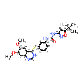 COc1cc2ncnc(Sc3cccc(NC(=O)Nc4cc(C(C)(C)C)on4)c3)c2cc1OC